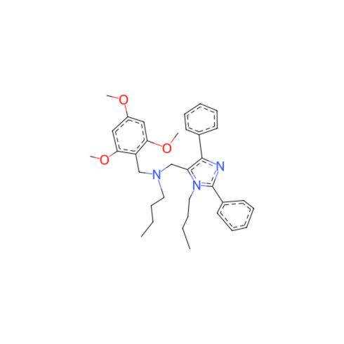 CCCCN(Cc1c(OC)cc(OC)cc1OC)Cc1c(-c2ccccc2)nc(-c2ccccc2)n1CCCC